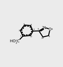 O=C(O)c1cccc(C2=NOCC2)c1